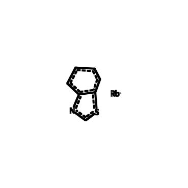 [Rb].c1ccc2scnc2c1